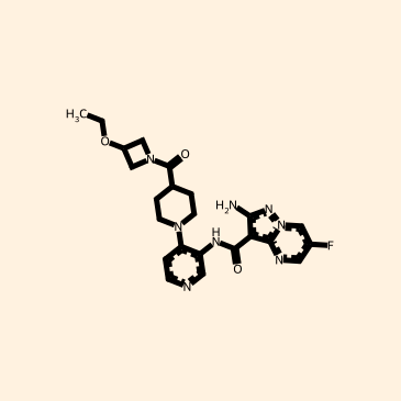 CCOC1CN(C(=O)C2CCN(c3ccncc3NC(=O)c3c(N)nn4cc(F)cnc34)CC2)C1